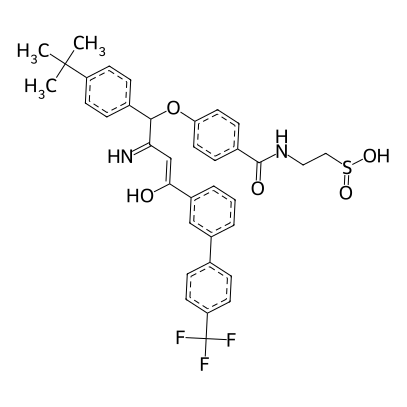 CC(C)(C)c1ccc(C(Oc2ccc(C(=O)NCCS(=O)O)cc2)C(=N)/C=C(\O)c2cccc(-c3ccc(C(F)(F)F)cc3)c2)cc1